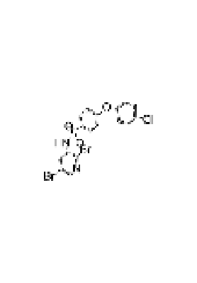 O=S(=O)(Nc1cc(Br)cnc1Br)c1ccc(Oc2ccc(Cl)cc2)cc1